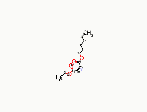 CCCCCCOC(=O)/C=C\C(=O)OCC